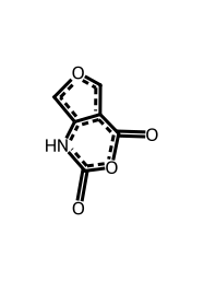 O=c1[nH]c2cocc2c(=O)o1